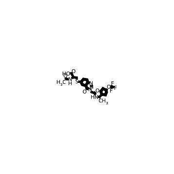 CC(=O)NC(CSc1ccc2nnn(CC(=O)N[C@@H](C)c3ccc(OC(F)(F)F)cc3)c(=O)c2c1)C(=O)O